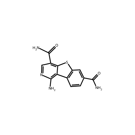 NC(=O)c1ccc2c(c1)sc1c(C(N)=O)cnc(N)c12